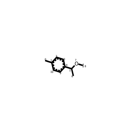 Cc1ccc(C(C)OI)cc1